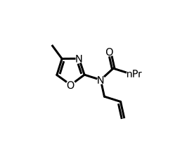 C=CCN(C(=O)CCC)c1nc(C)co1